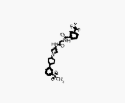 CS(=O)(=O)c1cccc(C2=CCC(N3CC(NC(=O)CNC(=O)c4cccc(C(F)(F)F)c4)C3)CC2)c1